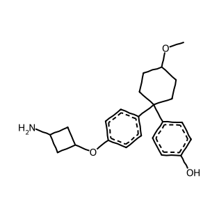 COC1CCC(c2ccc(O)cc2)(c2ccc(OC3CC(N)C3)cc2)CC1